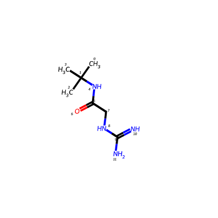 CC(C)(C)NC(=O)CNC(=N)N